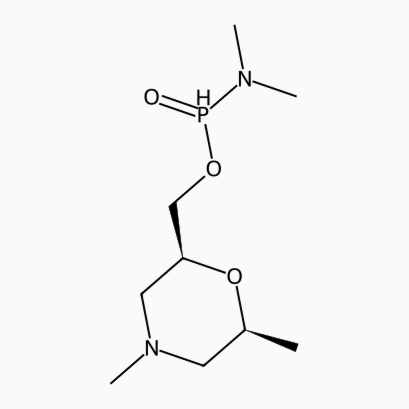 C[C@H]1CN(C)C[C@@H](CO[PH](=O)N(C)C)O1